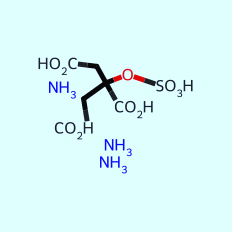 N.N.N.O=C(O)CC(CC(=O)O)(OS(=O)(=O)O)C(=O)O